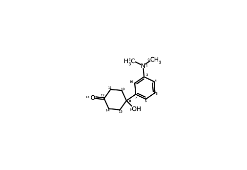 CN(C)c1cccc(C2(O)CCC(=O)CC2)c1